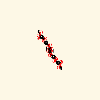 C=CC(=O)Oc1ccc(C(=O)Oc2ccc(C(=O)O[C@@H]3CO[C@@H]4[C@H]3OC[C@H]4OC(=O)c3ccc(OC(=O)c4ccc(OC(=O)C=C)c(OC)c4)cc3)cc2)cc1OC